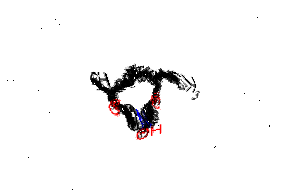 CCCCCCC1CCCCCC2CCC2CCCCCC(CCCCCC)CCCOC(=O)CCCCCN(CCO)CCCCCC(=O)OCCC1